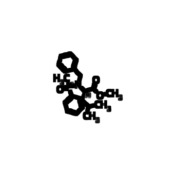 COC(=O)[C@@H](CC(C)C)N(Cc1ccccc1)[P@](C)(=O)c1ccccc1